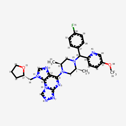 C[C@@H]1CN(c2nc3nncn3c3c2ncn3C[C@@H]2CCCO2)[C@@H](C)CN1C(c1ccc(F)cc1)c1ccc(OC(F)(F)F)cn1